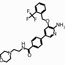 Nc1ncc(-c2ccc(C(=O)NCCN3CCOCC3)cc2)cc1OCc1ccccc1C(F)(F)F